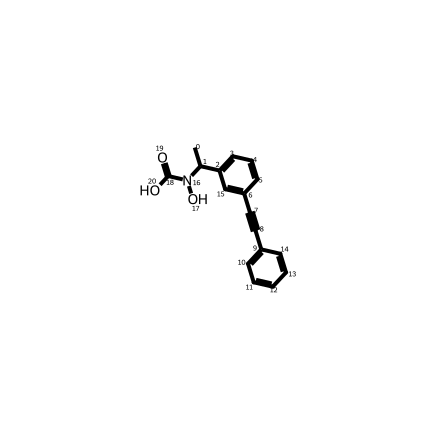 CC(c1cccc(C#Cc2ccccc2)c1)N(O)C(=O)O